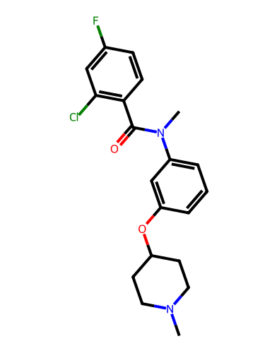 CN1CCC(Oc2cccc(N(C)C(=O)c3ccc(F)cc3Cl)c2)CC1